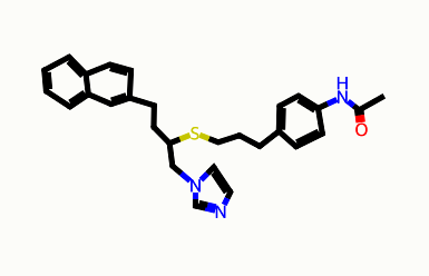 CC(=O)Nc1ccc(CCCSC(CCc2ccc3ccccc3c2)Cn2ccnc2)cc1